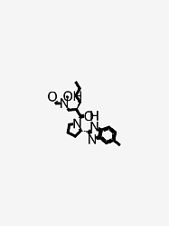 CCCC[C@H](CN(O)C=O)C(=O)N1CCC[C@H]1c1nc2cc(C)ccc2[nH]1